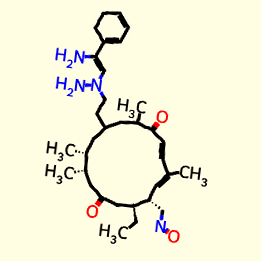 CC[C@H]1CC(=O)C[C@H](C)[C@H](C)CC(CCN(N)/C=C(\N)C2=CC=CCC2)CC(C)C(=O)/C=C/C(C)=C/[C@@H]1CN=O